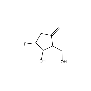 C=C1CC(F)C(O)C1CO